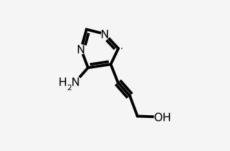 Nc1ncn[c]c1C#CCO